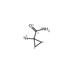 [2H]C1(C(N)=O)CC1